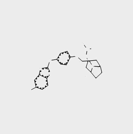 N[S+]([O-])N[C@H]1C[C@H]2CC[C@@H](C1)N2CCOc1ccc(Oc2nc3cc(F)ccc3s2)cc1